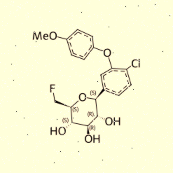 COc1ccc(Oc2cc([C@@H]3O[C@H](CF)[C@@H](O)[C@H](O)[C@H]3O)ccc2Cl)cc1